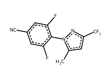 Cc1cc(C(F)(F)F)nn1-c1c(F)cc(C#N)cc1F